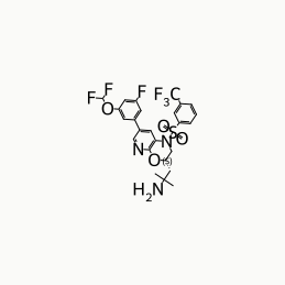 CC(C)(N)C[C@H]1CN(S(=O)(=O)c2cccc(C(F)(F)F)c2)c2cc(-c3cc(F)cc(OC(F)F)c3)cnc2O1